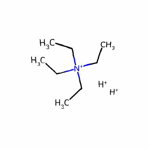 CC[N+](CC)(CC)CC.[H+].[H+]